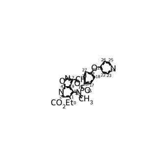 CCOC(=O)c1cnc2onc(C)c2c1N(C)S(=O)(=O)c1ccc(Oc2ccncc2)cc1